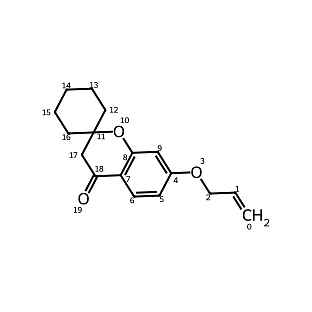 C=CCOc1ccc2c(c1)OC1(CCCCC1)CC2=O